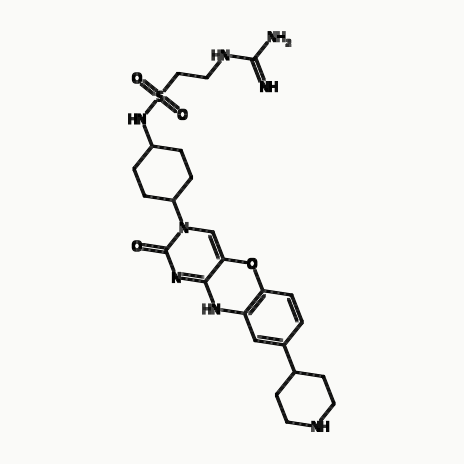 N=C(N)NCCS(=O)(=O)NC1CCC(n2cc3c(nc2=O)Nc2cc(C4CCNCC4)ccc2O3)CC1